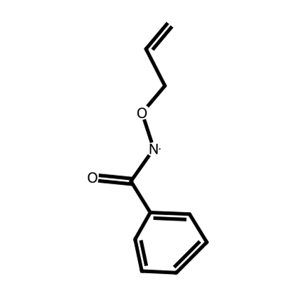 C=CCO[N]C(=O)c1ccccc1